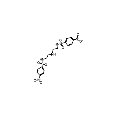 O=[N+]([O-])c1ccc(S(=O)(=O)NCCNCCNS(=O)(=O)c2ccc([N+](=O)[O-])cc2)cc1